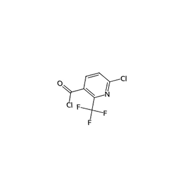 O=C(Cl)c1ccc(Cl)nc1C(F)(F)F